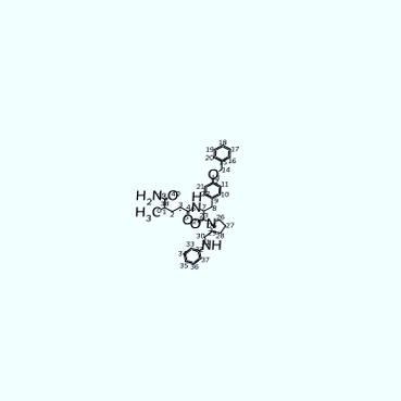 CC(C[CH]C(=O)NC(Cc1ccc(OCc2ccccc2)cc1)C(=O)N1CCCC1CNc1ccccc1)C(N)=O